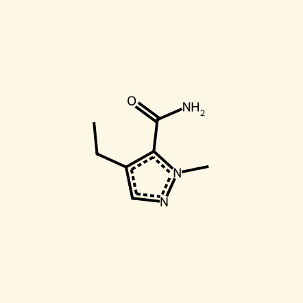 CCc1cnn(C)c1C(N)=O